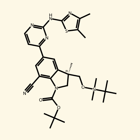 Cc1nc(Nc2nccc(-c3cc(C#N)c4c(c3)[C@@](C)(CO[Si](C)(C)C(C)(C)C)CN4C(=O)OC(C)(C)C)n2)sc1C